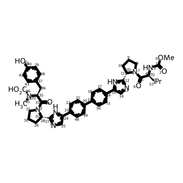 COC(=O)N[C@H](C(=O)N1CCC[C@H]1c1ncc(-c2ccc(-c3ccc(-c4cnc([C@@H]5CCCN5C(=O)[C@H](Cc5ccc(O)cc5)N(C)C(=O)O)[nH]4)cc3)cc2)[nH]1)C(C)C